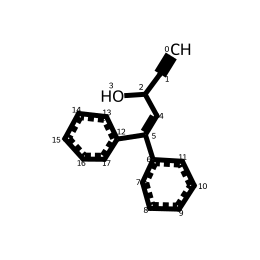 C#CC(O)C=C(c1ccccc1)c1ccccc1